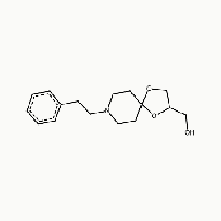 OCC1COC2(CCN(CCc3ccccc3)CC2)O1